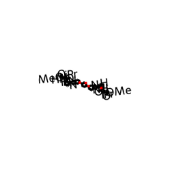 COC(=O)NC(C(=O)N1CCCC1c1nc2cc(-c3ccc(-c4ccc5[nH]c([C@@H]6CCCN6C(=O)[C@@H](NC(=O)OC)C(C)C)nc5c4)cc3)ccc2[nH]1)C(C)C